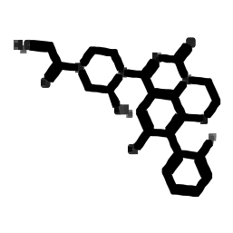 C=CC(=O)N1CCN(c2nc(=O)n3c4c(c(-c5ccccc5F)c(Cl)cc24)SCC3)[C@@H](C)C1